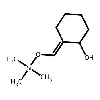 C[Si](C)(C)OC=C1CCCCC1O